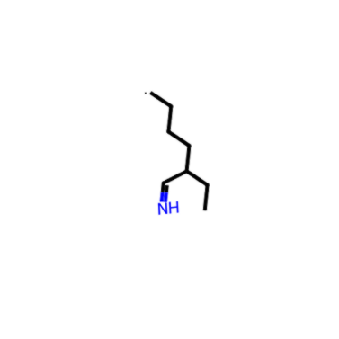 [CH2]CCCC(C=N)CC